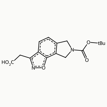 CC(C)(C)OC(=O)N1Cc2ccc3c(CC(=O)O)noc3c2C1